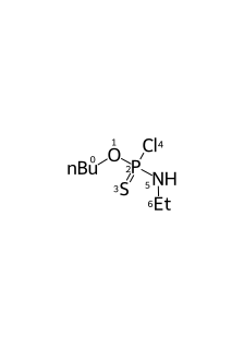 CCCCOP(=S)(Cl)NCC